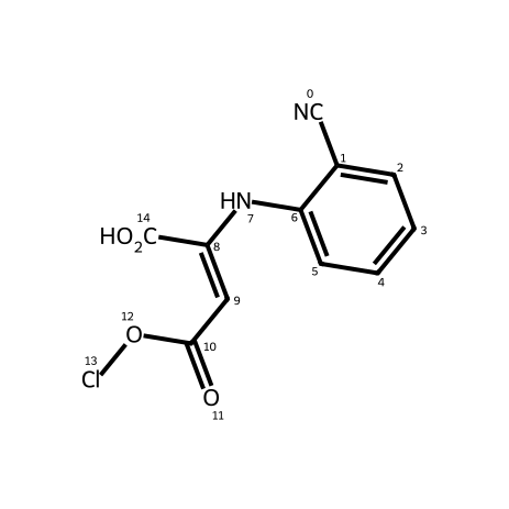 N#Cc1ccccc1NC(=CC(=O)OCl)C(=O)O